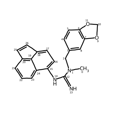 CN(Cc1ccc2c(c1)OCO2)C(=N)Nc1ccc2c3c(cccc13)C=C2